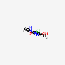 Cc1ccc(NC(=O)C2=CCN(c3ncc([C@H](C)CO)cc3Cl)CC2)cc1